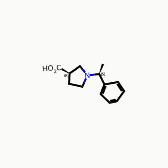 C[C@@H](c1ccccc1)N1CC[C@@H](C(=O)O)C1